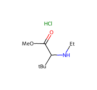 CCNC(C(=O)OC)C(C)(C)C.Cl